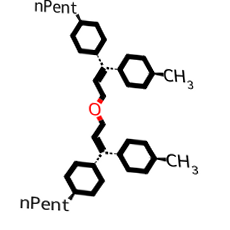 CCCCC[C@H]1CC[C@H](C(=CCOCC=C([C@H]2CC[C@H](C)CC2)[C@H]2CC[C@H](CCCCC)CC2)[C@H]2CC[C@H](C)CC2)CC1